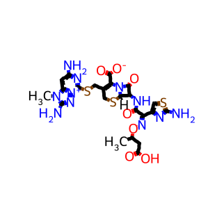 CC(CC(=O)O)O/N=C(\C(=O)NC1C(=O)N2C(C(=O)[O-])=C(CSc3nc(N)cc4n(C)c(N)n[n+]34)CS[C@@H]12)c1csc(N)n1